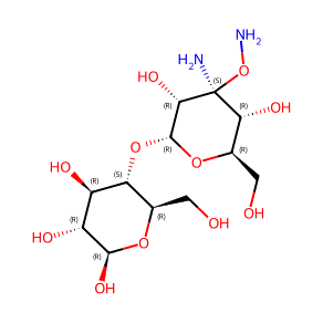 NO[C@@]1(N)[C@H](O)[C@@H](CO)O[C@H](O[C@H]2[C@H](O)[C@@H](O)[C@H](O)O[C@@H]2CO)[C@@H]1O